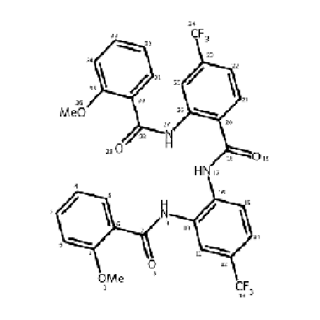 COc1ccccc1C(=O)Nc1cc(C(F)(F)F)ccc1NC(=O)c1ccc(C(F)(F)F)cc1NC(=O)c1ccccc1OC